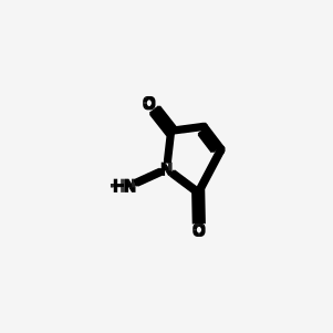 [NH]N1C(=O)C=CC1=O